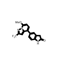 COc1ccc(-c2ccc3c(c2)CC(=O)N3)c2cc(C(F)(F)F)nn12